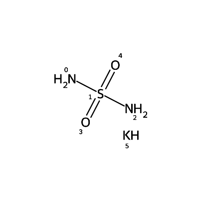 NS(N)(=O)=O.[KH]